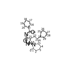 CC1CCCC(C)N1[n+]1noc([N-]C(=O)c2ccccc2)c1CCc1ccccc1